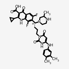 Cc1ccc(Nc2cc(=O)n(CCC[C@H](c3c(F)cc4c(=O)c(C(=O)O)c(C5CC5)[nH]c4c3F)N3CCNC(C)C3)c(=O)[nH]2)cc1C